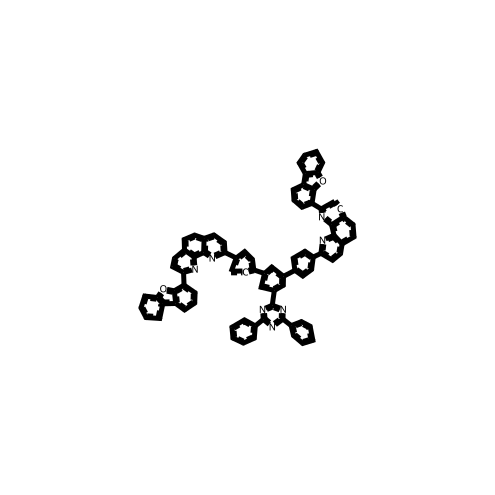 c1ccc(-c2nc(-c3ccccc3)nc(-c3cc(-c4ccc(-c5ccc6ccc7ccc(-c8cccc9c8oc8ccccc89)nc7c6n5)cc4)cc(-c4ccc(-c5ccc6ccc7ccc(-c8cccc9c8oc8ccccc89)nc7c6n5)cc4)c3)n2)cc1